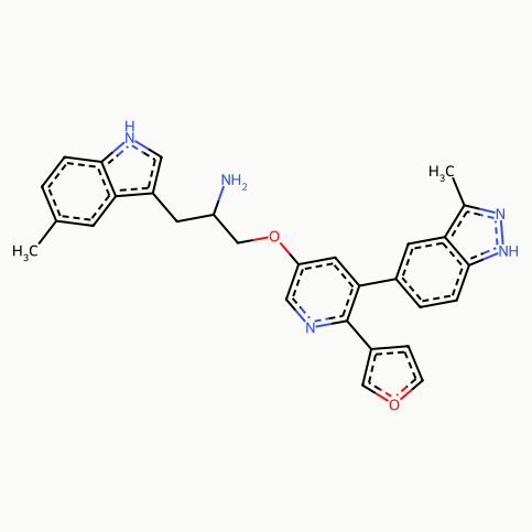 Cc1ccc2[nH]cc(CC(N)COc3cnc(-c4ccoc4)c(-c4ccc5[nH]nc(C)c5c4)c3)c2c1